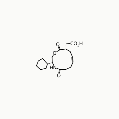 O=C(O)C[C@@H]1CC=CCCC(=O)N[C@H](C2CCCCC2)COC1=O